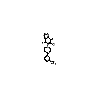 O=C1C(Cl)=C(N2CCN(c3cccc(C(F)(F)F)c3)CC2)C(=O)c2nsnc21